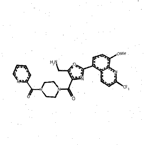 COc1ccc(-c2nc(C(=O)N3CCN(C(=O)c4ccccn4)CC3)c(CN)o2)c2ccc(C(F)(F)F)nc12